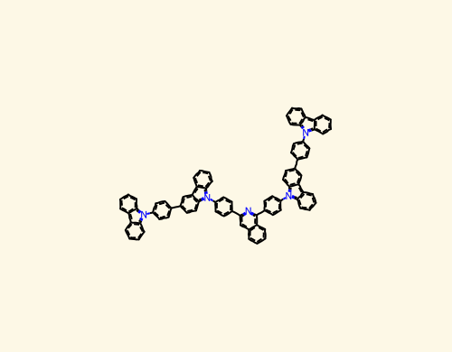 c1ccc2c(-c3ccc(-n4c5ccccc5c5cc(-c6ccc(-n7c8ccccc8c8ccccc87)cc6)ccc54)cc3)nc(-c3ccc(-n4c5ccccc5c5cc(-c6ccc(-n7c8ccccc8c8ccccc87)cc6)ccc54)cc3)cc2c1